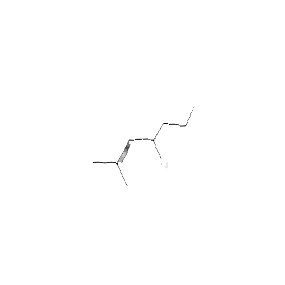 CCCC(N)C=C(C)C